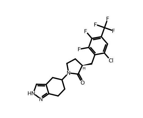 O=C1[C@H](Cc2c(Cl)cc(C(F)(F)F)c(F)c2F)CCN1C1CCc2n[nH]cc2C1